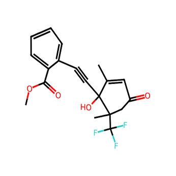 COC(=O)c1ccccc1C#CC1(O)C(C)=CC(=O)CC1(C)C(F)(F)F